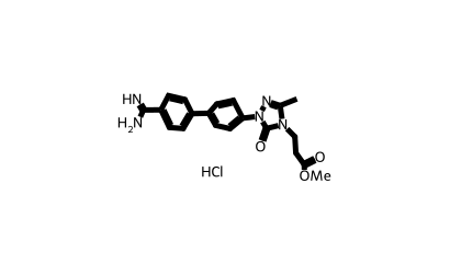 COC(=O)CCn1c(C)nn(-c2ccc(-c3ccc(C(=N)N)cc3)cc2)c1=O.Cl